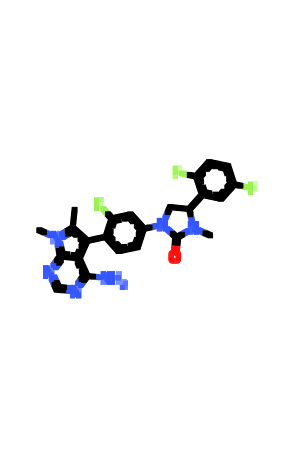 Cc1c(-c2ccc(N3CC(c4cc(F)ccc4F)N(C)C3=O)cc2F)c2c(N)ncnc2n1C